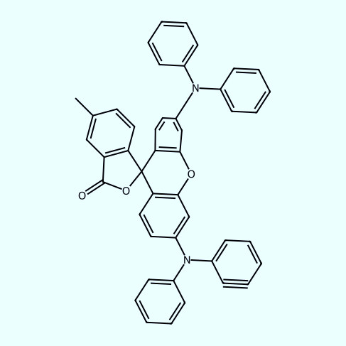 Cc1ccc2c(c1)C(=O)OC21c2ccc(N(c3c#cccc3)c3ccccc3)cc2Oc2cc(N(c3ccccc3)c3ccccc3)ccc21